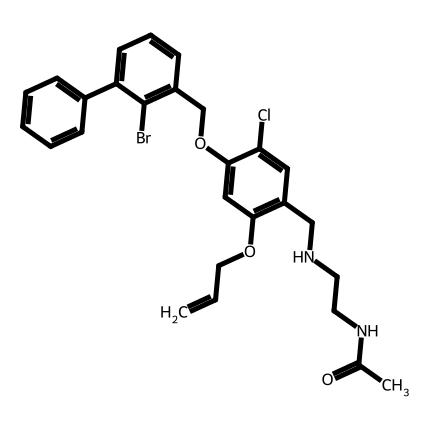 C=CCOc1cc(OCc2cccc(-c3ccccc3)c2Br)c(Cl)cc1CNCCNC(C)=O